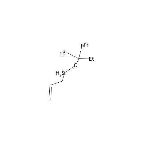 C=CC[SiH2]OC(CC)(CCC)CCC